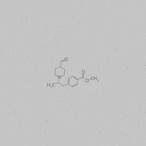 COC(=O)c1ccc(CC(C)N2CCC(C=O)CC2)cc1